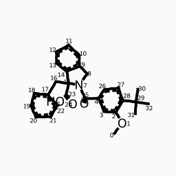 COc1cc(C(=O)N2Cc3ccccc3C2(Cc2ccccc2)C(=O)O)ccc1C(C)(C)C